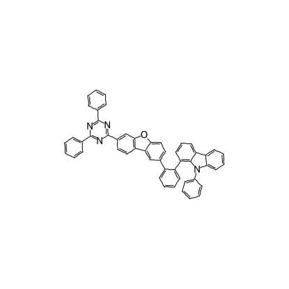 c1ccc(-c2nc(-c3ccccc3)nc(-c3ccc4c(c3)oc3ccc(-c5ccccc5-c5cccc6c7ccccc7n(-c7ccccc7)c56)cc34)n2)cc1